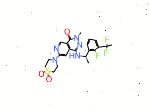 C[C@@H](Nc1nn(C)c(=O)c2cnc(N3CCS(=O)(=O)CC3)cc12)c1cccc(C(C)(F)F)c1F